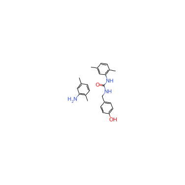 Cc1ccc(C)c(N)c1.Cc1ccc(C)c(NC(=O)NCc2ccc(O)cc2)c1